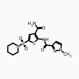 Cn1ccc(C(=O)Nc2sc(S(=O)(=O)N3CCCCC3)cc2C(N)=O)n1